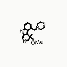 COCC1(C)C=NC=C2N=c3cccc(CN4CCSCC4)c3=C21